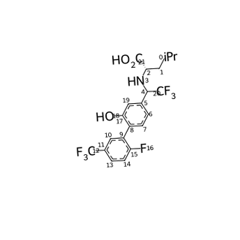 CC(C)C[C@H](NC(c1ccc(-c2cc(C(F)(F)F)ccc2F)c(O)c1)C(F)(F)F)C(=O)O